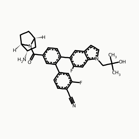 CC(C)(O)Cn1ccc2cc(-c3ccc(C(=O)N4[C@H]5CC[C@@H]4[C@@H](N)C5)cc3-c3ccc(C#N)c(F)c3)c(F)cc21